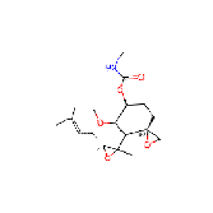 CNC(=O)OC1CC[C@]2(CO2)C(C2(C)O[C@@H]2CC=C(C)C)C1OC